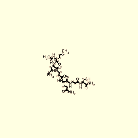 CSCC[C@H](NC(C)=O)C(=O)N[C@@H](CCSC)C(=O)NCCC(=O)N[C@@H](CCC(N)=O)C(=O)NCCC(=O)N[C@@H](CS)C(N)=O